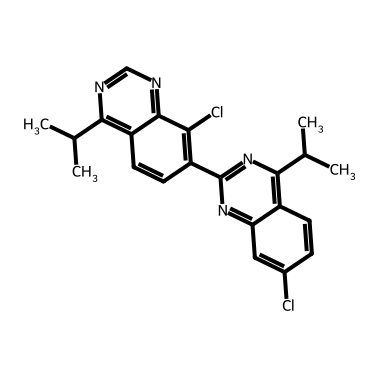 CC(C)c1nc(-c2ccc3c(C(C)C)ncnc3c2Cl)nc2cc(Cl)ccc12